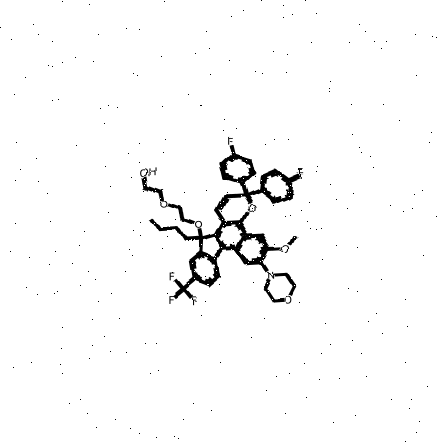 CCCCC1(OCCOCCO)c2cc(C(F)(F)F)ccc2-c2c1c1c(c3cc(OC)c(N4CCOCC4)cc23)OC(c2ccc(F)cc2)(c2ccc(F)cc2)C=C1